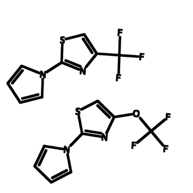 FC(F)(F)Oc1csc(-n2cccc2)n1.FC(F)(F)c1csc(-n2cccc2)n1